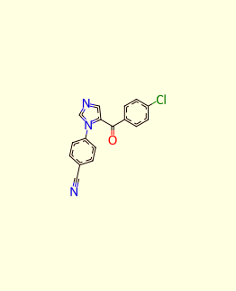 N#Cc1ccc(-n2cncc2C(=O)c2ccc(Cl)cc2)cc1